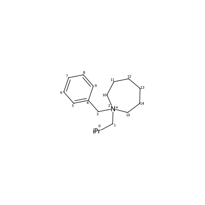 CC(C)C[N+]1(Cc2ccccc2)CCCCCC1